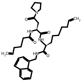 C=CCCCCC[C@H](NC(=O)[C@H](CC(=O)N1CCCC1)NC(=O)CCCC=C)C(=O)NCc1cccc2ccccc12